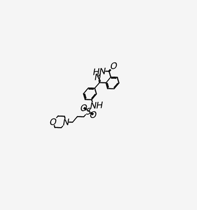 O=c1[nH]nc(-c2cccc(NS(=O)(=O)CCCN3CCOCC3)c2)c2ccccc12